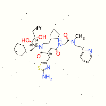 CC(C)C[C@H](O)[C@H](O)[C@H](CC1CCCCC1)N(CCC1CCCC1)C(=O)[C@@H](CC(=O)NCC(=O)N(C)CCc1ccccn1)Cc1csc(N)n1